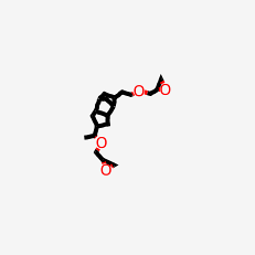 CC(OCC1CO1)C1CC2C3CC(CCOCC4CO4)C(C3)C2C1